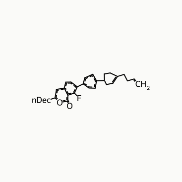 C=CCCC1=CCC(c2ccc(-c3ccc4cc(CCCCCCCCCC)oc(=O)c4c3F)cc2)CC1